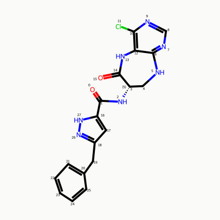 O=C(N[C@H]1CNc2ncnc(Cl)c2NC1=O)c1cc(Cc2ccccc2)n[nH]1